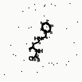 C=C(CCNCc1ccccc1)NC(C)Cl